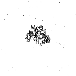 COc1ccc(F)cc1[C@H]1CCCN1N(C(=O)c1cnn2ccccc12)[C@H]1CC[C@H](c2nnnn2C)CC1